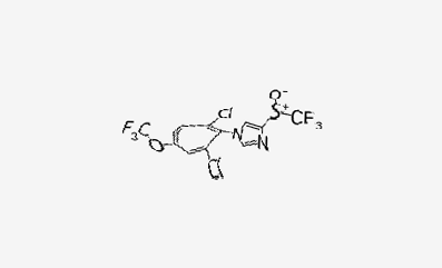 [O-][S+](c1cn(-c2c(Cl)cc(OC(F)(F)F)cc2Cl)cn1)C(F)(F)F